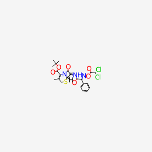 CC1=C(C(=O)OC(C)(C)C)N2C(=O)[C@@H](NC(=O)C(=NOC(=O)C(Cl)Cl)c3ccccc3)[C@@H]2SC1